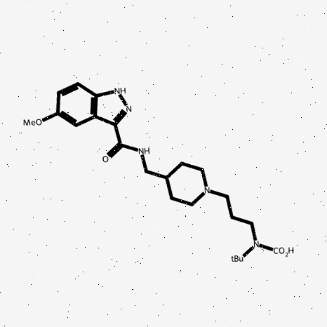 COc1ccc2[nH]nc(C(=O)NCC3CCN(CCCN(C(=O)O)C(C)(C)C)CC3)c2c1